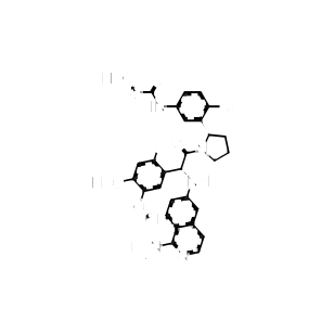 COC(=O)Nc1ccc(S)c([C@H]2CCCN2C(=O)[C@@H](Nc2ccc3c(N)nccc3c2)c2cc(OC)c(C)cc2F)c1